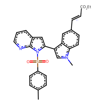 CCOC(=O)/C=C/c1ccc2c(c1)c(-c1cc3cccnc3n1S(=O)(=O)c1ccc(C)cc1)cn2C